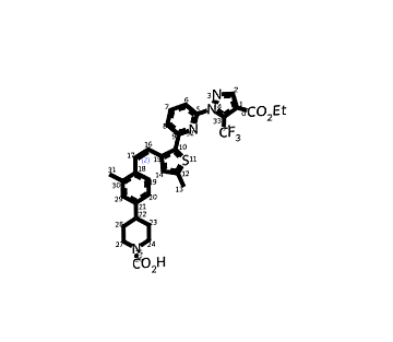 CCOC(=O)c1cnn(-c2cccc(-c3sc(C)cc3/C=C\c3ccc(C4CCN(C(=O)O)CC4)cc3C)n2)c1C(F)(F)F